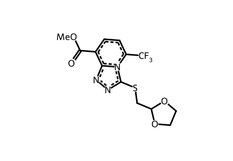 COC(=O)c1ccc(C(F)(F)F)n2c(SCC3OCCO3)nnc12